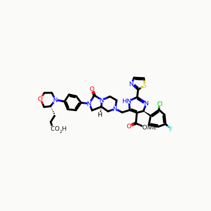 COC(=O)C1=C(CN2CCN3C(=O)N(c4ccc(N5CCOC[C@H]5CCC(=O)O)cc4)C[C@@H]3C2)NC(c2nccs2)=N[C@H]1c1ccc(F)cc1Cl